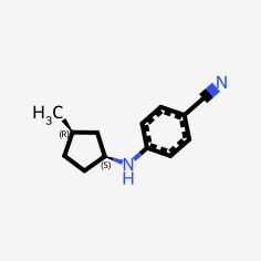 C[C@@H]1CC[C@H](Nc2ccc(C#N)cc2)C1